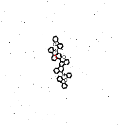 c1ccc(-c2ccccc2N(c2ccc3c(c2)Oc2cccc4c2c-3cc2c3ccccc3c(N(c3ccccc3)c3cccc5c3oc3ccccc35)cc42)c2cccc3c2oc2ccccc23)cc1